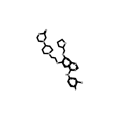 O=C1CN(C2CCN(CCOc3cc4c(Nc5ccc(F)c(Cl)c5)ncnc4cc3OCC3CCCO3)CC2)CCO1